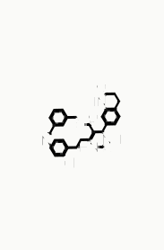 N#Cc1cccc(COC(=O)C2=C(CCc3ccccc3Cl)NC(=O)NC2c2ccc3c(c2)NC(=O)CC3)c1